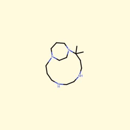 CC1(C)CCNCCNCCCN2CCCN1CC2